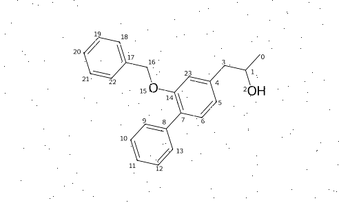 CC(O)Cc1ccc(-c2ccccc2)c(OCc2ccccc2)c1